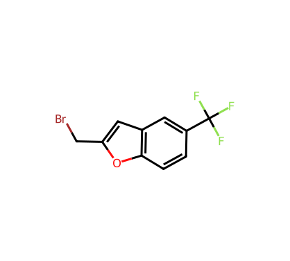 FC(F)(F)c1ccc2oc(CBr)cc2c1